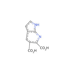 O=C(O)c1cc2cc[nH]c2nc1C(=O)O